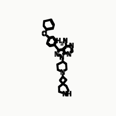 Nc1ncnc2c1c(-c1ccc(OC3=CC=CCC3)cc1)nn2C1CCN(C2CC3(CCNCC3)C2)CC1